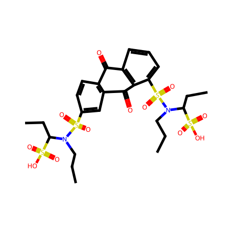 CCCN(C(CC)S(=O)(=O)O)S(=O)(=O)c1ccc2c(c1)C(=O)c1c(cccc1S(=O)(=O)N(CCC)C(CC)S(=O)(=O)O)C2=O